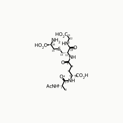 CC(=O)N[C@@H](C)C(=O)N[C@H](CCC(=O)N[C@H](CSC[C@H](N)C(=O)O)C(=O)NCC(=O)O)C(=O)O